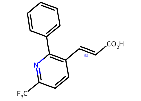 O=C(O)/C=C/c1ccc(C(F)(F)F)nc1-c1ccccc1